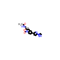 CC(=O)NC[C@@H]1OC(=O)N2c3ccc(-c4ccc(-n5ccnn5)nc4)cc3C[C@@H]12